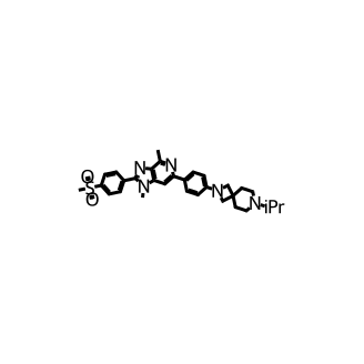 Cc1nc(-c2ccc(N3CC4(CCN(C(C)C)CC4)C3)cc2)cc2c1nc(-c1ccc(S(C)(=O)=O)cc1)n2C